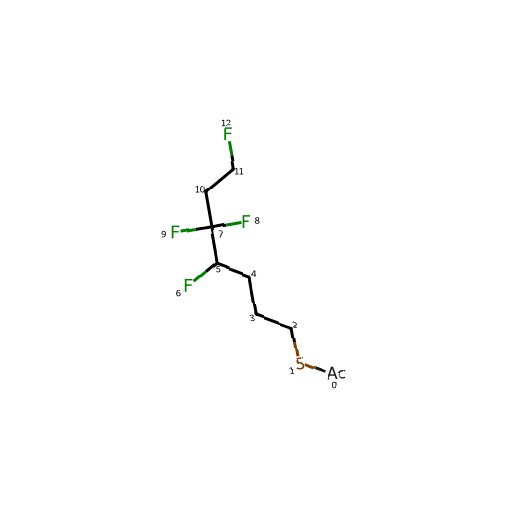 CC(=O)SCCCC(F)C(F)(F)CCF